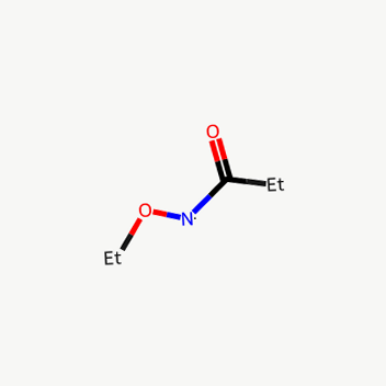 CCO[N]C(=O)CC